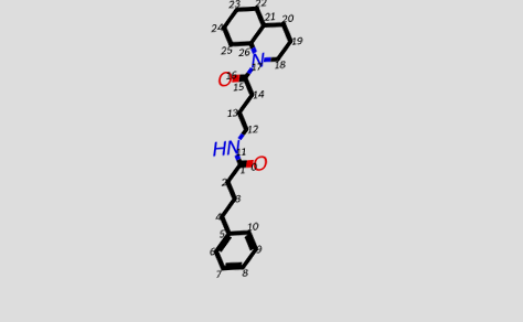 O=C(CCCc1ccccc1)NCCCC(=O)N1CCCC2CCCCC21